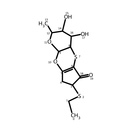 CCSC1CC2=C(SC3C(O2)OC(C)C(O)C3O)C1=O